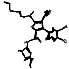 CCOCCN(C)c1sc(C(=O)Nc2cc(C)nn2C)c(-c2ccc(Cl)c(Cl)c2)c1C#N